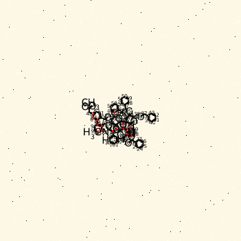 COC(=O)CCCCCCC(C)NCCO[C@@H]1O[C@@H]2COC(c3ccccc3)O[C@@H]2[C@H](O[C@H]2O[C@H](COCc3ccccc3)[C@H](OCc3ccccc3)[C@H](OCc3ccccc3)[C@H]2OCc2ccccc2)[C@H]1O[C@@H]1O[C@@H](C)[C@@H](OCc2ccccc2)[C@@H](OCc2ccccc2)[C@@H]1OCc1ccccc1